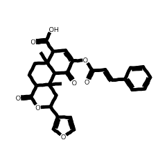 CC12CCC3C(=O)OC(c4ccoc4)CC3(C)C1C(=O)C(OC(=O)C=Cc1ccccc1)=CC2C(=O)O